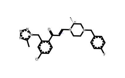 Cc1nnnn1Cc1cc(Cl)ccc1C(=O)/C=C/N1CCN(Cc2ccc(F)cc2)C[C@H]1C